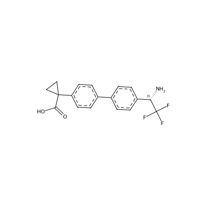 N[C@@H](c1ccc(-c2ccc(C3(C(=O)O)CC3)cc2)cc1)C(F)(F)F